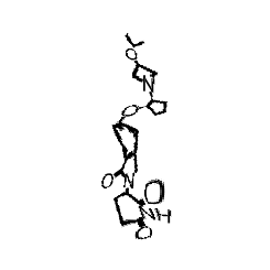 CC(C)OC1CN([C@H]2CCC[C@H]2Oc2ccc3c(c2)CN(C2CCC(=O)NC2=O)C3=O)C1